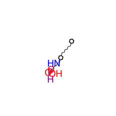 O=[PH](O)OCCCNCc1ccc(CCCCCCc2ccccc2)cc1